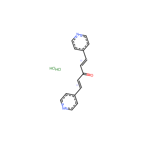 Cl.Cl.O=C(/C=C/c1ccncc1)/C=C/c1ccncc1